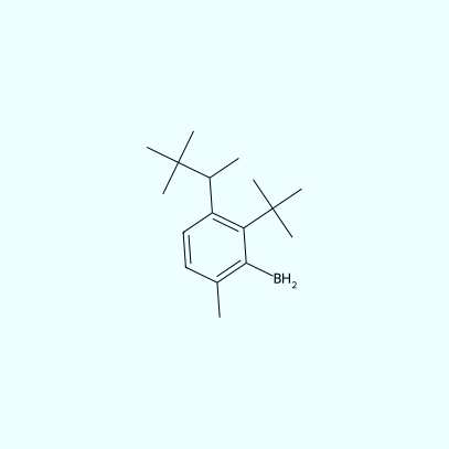 Bc1c(C)ccc(C(C)C(C)(C)C)c1C(C)(C)C